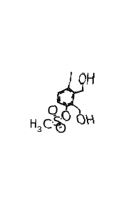 CS(=O)(=O)Oc1ccc(I)c(CO)c1CO